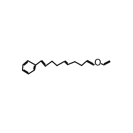 C=CO/C=C/CC/C=C/CC/C=C/c1ccccc1